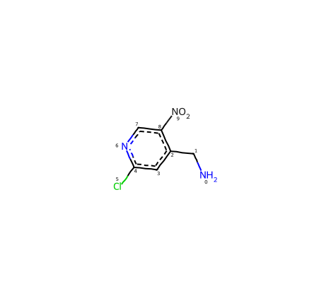 NCc1cc(Cl)ncc1[N+](=O)[O-]